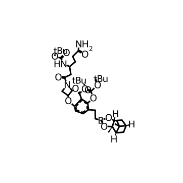 CC(C)(C)OC(=O)NC(CCC(N)=O)CC(=O)N1CC(Oc2ccc(CCB3O[C@@H]4C[C@@H]5C[C@@H](C5(C)C)[C@]4(C)O3)c(OC(=O)OC(C)(C)C)c2C(=O)OC(C)(C)C)C1